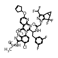 Cn1nc(N[S+](C)[O-])c2c(Cl)ccc(-n3c(C(Cc4cc(F)cc(F)c4)NC(=O)Cn4nc(C(F)F)c5c4C(F)(F)C4CC54)nc4nc(OC5CC=CC5)ccc4c3=O)c21